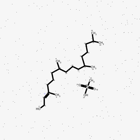 C/C(=C\CO)CCCC(C)CCCC(C)CCCC(C)C.CS(=O)(=O)O